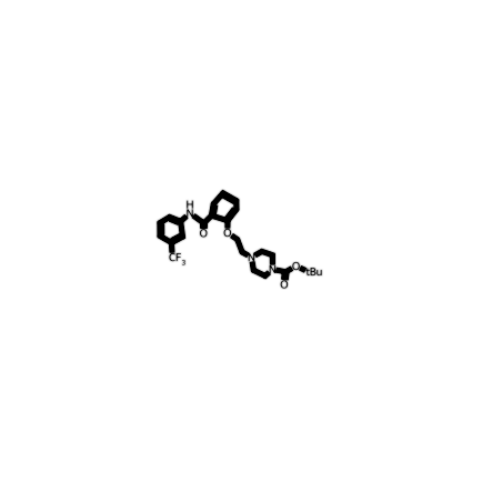 CC(C)(C)OC(=O)N1CCN(CCOc2ccccc2C(=O)Nc2cccc(C(F)(F)F)c2)CC1